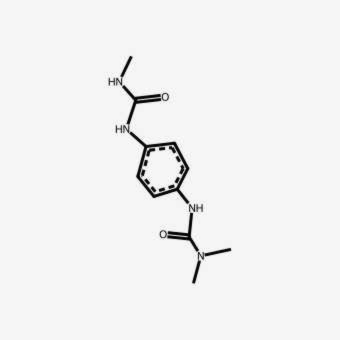 CNC(=O)Nc1ccc(NC(=O)N(C)C)cc1